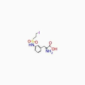 N[C@@H](Cc1cccc(NS(=O)(=O)CCCI)c1)C(=O)O